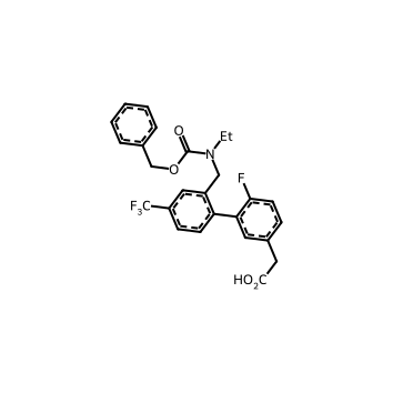 CCN(Cc1cc(C(F)(F)F)ccc1-c1cc(CC(=O)O)ccc1F)C(=O)OCc1ccccc1